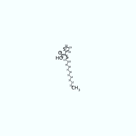 CCCCCCCCCCCCSC(C(=O)O)c1cccs1